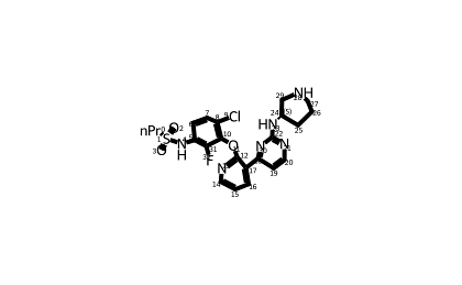 CCCS(=O)(=O)Nc1ccc(Cl)c(Oc2ncccc2-c2ccnc(N[C@H]3CCCNC3)n2)c1F